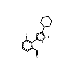 O=Cc1cccc(F)c1-c1cc(C2CCCCC2)[nH]n1